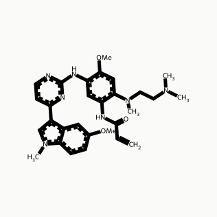 C=CC(=O)Nc1cc(Nc2nccc(-c3cn(C)c4ccc(OC)cc34)n2)c(OC)cc1N(C)CCN(C)C